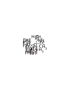 CCC1(CC)CC(OCC(COC(C(F)(F)F)(C(F)(F)F)C(F)(F)F)(COC(C(F)(F)F)(C(F)(F)F)C(F)(F)F)COC(C(F)(F)F)(C(F)(F)F)C(F)(F)F)CC(CC)(CC)N1